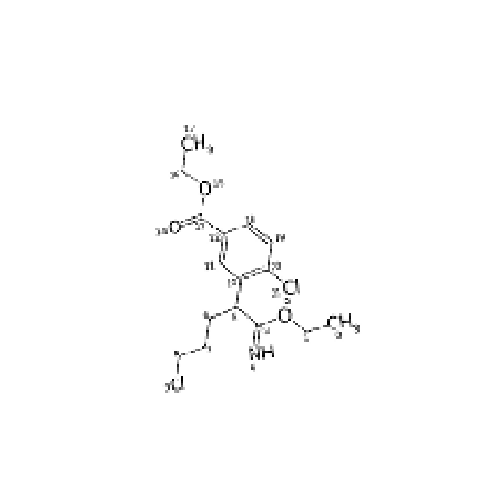 CCOC(=N)C(CCCCl)c1cc(C(=O)OCC)ccc1Cl